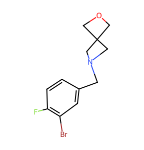 Fc1ccc(CN2CC3(COC3)C2)cc1Br